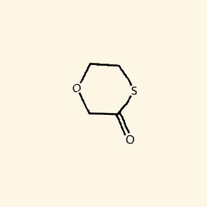 O=C1COCCS1